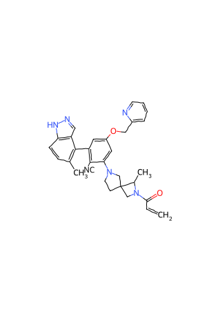 C=CC(=O)N1CC2(CCN(c3cc(OCc4ccccn4)cc(-c4c(C)ccc5[nH]ncc45)c3C#N)C2)C1C